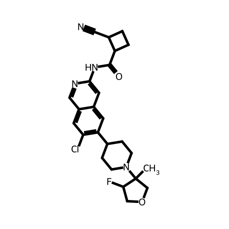 CC1(N2CCC(c3cc4cc(NC(=O)C5CCC5C#N)ncc4cc3Cl)CC2)COCC1F